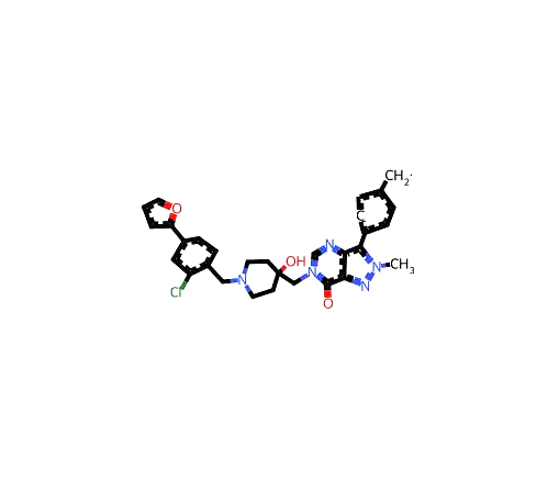 [CH2]c1ccc(-c2c3ncn(CC4(O)CCN(Cc5ccc(-c6ccco6)cc5Cl)CC4)c(=O)c3nn2C)cc1